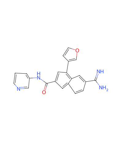 N=C(N)c1ccc2cc(C(=O)Nc3cccnc3)cc(-c3ccoc3)c2c1